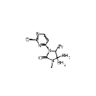 BC1(B)C(C(C)C)N(c2ccnc(Cl)n2)C(=O)N1C